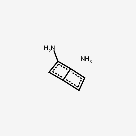 N.Nc1cc2ccc1-2